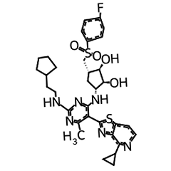 Cc1nc(NCCC2CCCC2)nc(N[C@@H]2C[C@H](CS(=O)(=O)c3ccc(F)cc3)[C@@H](O)[C@H]2O)c1-c1nc2c(C3CC3)nccc2s1